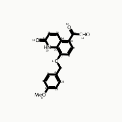 COc1ccc(COc2ccc(C(=O)C=O)c3ccc(=O)[nH]c23)cc1